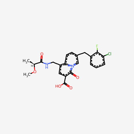 CO[C@@H](C)C(=O)NCc1cc(C(=O)O)c(=O)n2cc(Cc3cccc(Cl)c3F)ccc12